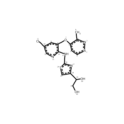 Cc1nnccc1Oc1cc(Cl)cnc1Nc1nc(C(O)CO)cs1